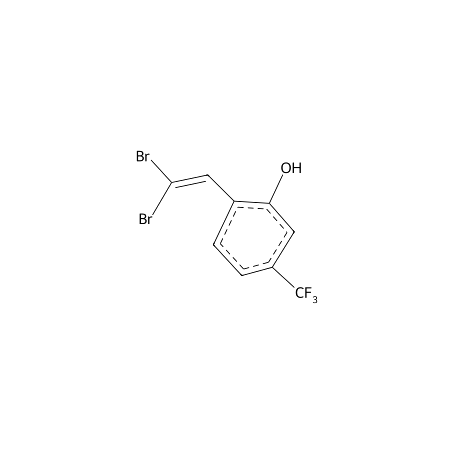 Oc1cc(C(F)(F)F)ccc1C=C(Br)Br